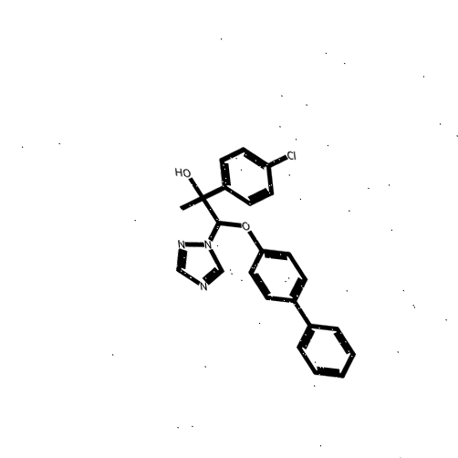 CC(O)(c1ccc(Cl)cc1)C(Oc1ccc(-c2ccccc2)cc1)n1cncn1